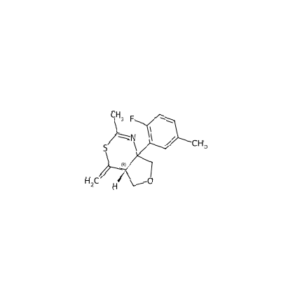 C=C1SC(C)=NC2(c3cc(C)ccc3F)COC[C@H]12